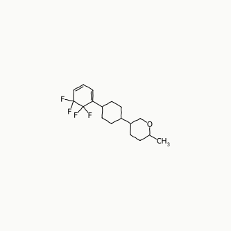 CC1CCC(C2CCC(C3=CC=CC(F)(F)C3(F)F)CC2)CO1